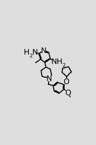 COc1ccc(CN2CCC(c3c(N)cnc(N)c3C)CC2)cc1OC1CCCC1